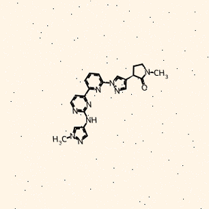 CN1CC[C@H](c2cnn(-c3cccc(-c4ccnc(Nc5cnn(C)c5)n4)n3)c2)C1=O